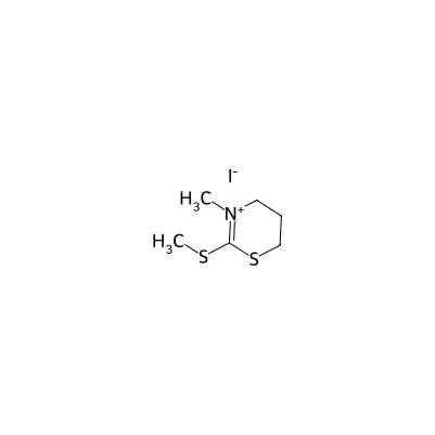 CSC1=[N+](C)CCCS1.[I-]